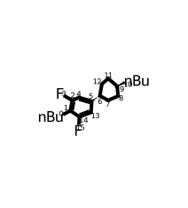 CCCCc1c(F)cc([C@H]2CC[C@H](CCCC)CC2)cc1F